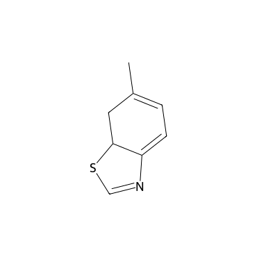 CC1=CC=C2N=CSC2C1